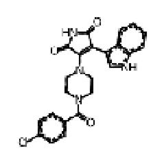 O=C1NC(=O)C(N2CCN(C(=O)c3ccc(Cl)cc3)CC2)=C1c1c[nH]c2ccccc12